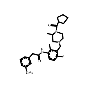 COc1cccc(CC(=O)Nc2ccc(F)c(CN3CCN(C(=O)C4CCCC4)C(C)C3)c2C)c1